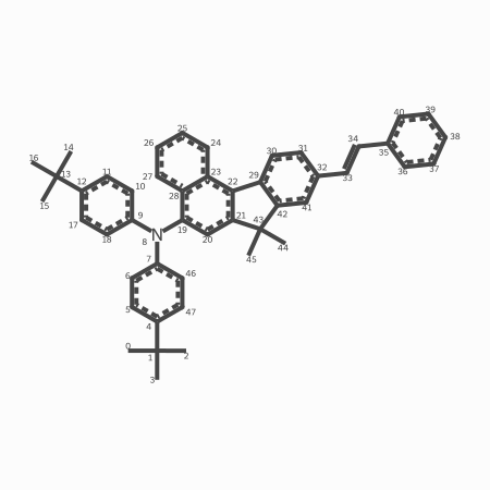 CC(C)(C)c1ccc(N(c2ccc(C(C)(C)C)cc2)c2cc3c(c4ccccc24)-c2ccc(/C=C/c4ccccc4)cc2C3(C)C)cc1